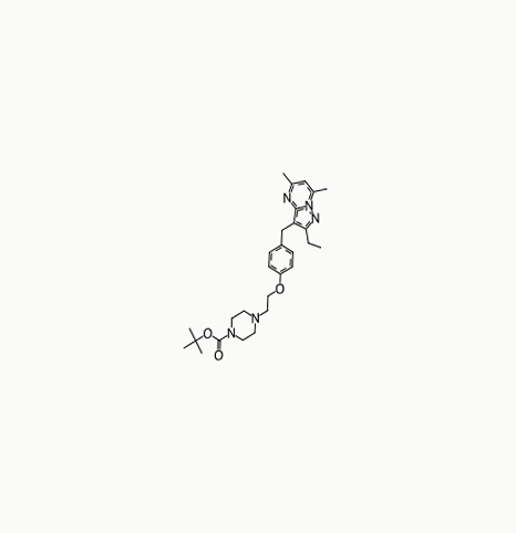 CCc1nn2c(C)cc(C)nc2c1Cc1ccc(OCCN2CCN(C(=O)OC(C)(C)C)CC2)cc1